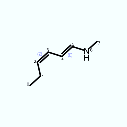 CC/C=C\C=C\NC